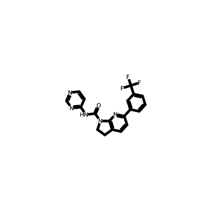 O=C(Nc1ccncn1)N1CCc2ccc(-c3cccc(C(F)(F)F)c3)nc21